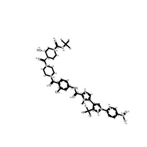 Cn1c(-c2cn(-c3ccc([N+](=O)[O-])cn3)nc2C(F)(F)F)cnc1C(=O)Nc1ccc(C(=O)N2CCN(C(=O)[C@@H]3CCN(C(=O)OC(C)(C)C)C[C@H]3O)CC2)c(Cl)c1